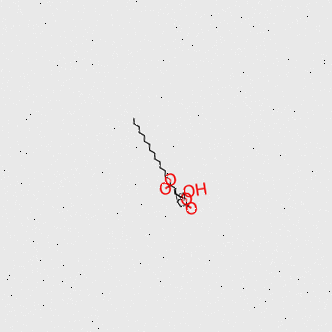 CCCCCCCCCCCCCCOC(=O)C=C[C@]1(CO)CCC(=O)O1